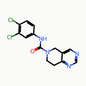 O=C(Nc1ccc(Cl)c(Cl)c1)N1CCc2ncncc2C1